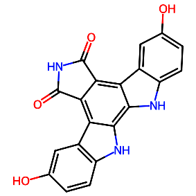 O=C1NC(=O)c2c1c1c3cc(O)ccc3[nH]c1c1[nH]c3ccc(O)cc3c21